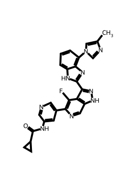 Cc1cn(-c2cccc3[nH]c(-c4n[nH]c5cnc(-c6cncc(NC(=O)C7CC7)c6)c(F)c45)nc23)cn1